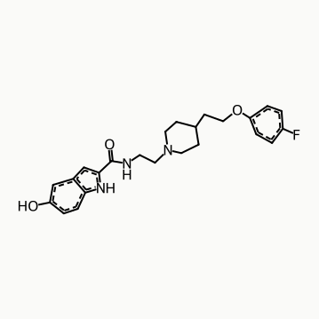 O=C(NCCN1CCC(CCOc2ccc(F)cc2)CC1)c1cc2cc(O)ccc2[nH]1